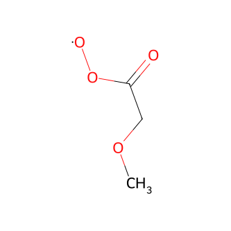 COCC(=O)O[O]